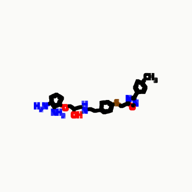 Cc1ccc(-c2noc(CSc3ccc(CCNCC(O)COc4cccc(N)c4N)cc3)n2)cc1